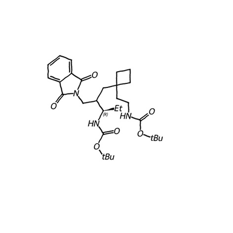 CC[C@@H](NC(=O)OC(C)(C)C)C(CN1C(=O)c2ccccc2C1=O)CC1(CCNC(=O)OC(C)(C)C)CCC1